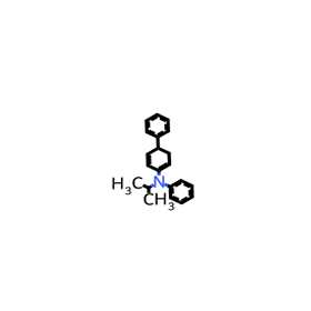 CC(C)N(C1=CCC(c2ccccc2)C=C1)c1ccccc1